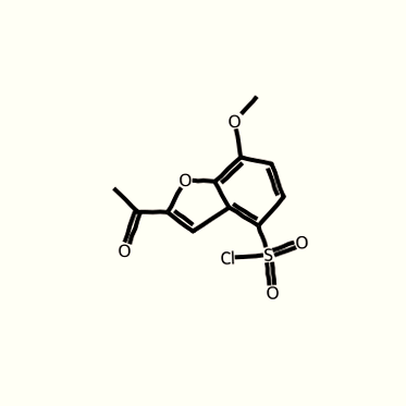 COc1ccc(S(=O)(=O)Cl)c2cc(C(C)=O)oc12